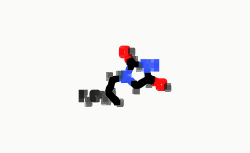 C[C@@H](CN1CC(=O)NC1=O)C(F)(F)F